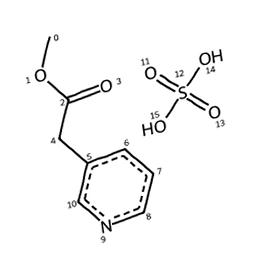 COC(=O)Cc1cccnc1.O=S(=O)(O)O